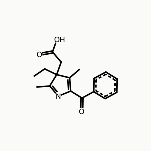 CCC1(CC(=O)O)C(C)=NC(C(=O)c2ccccc2)=C1C